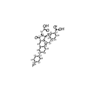 O=C(O)CN1C(=O)C(=Cc2cc(-c3ccc(F)cc3)ccc2OCc2ccc(C(=O)O)cc2)SC1=S